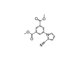 COC(=O)c1cc(C(=O)OC)cc(-n2cccc2C#N)c1